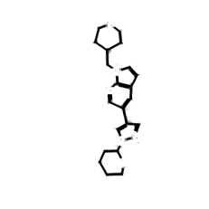 c1nc2c(ccn2CC2CCNCC2)cc1-c1cnn(C2CCCCO2)c1